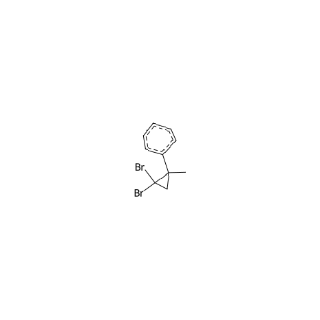 CC1(c2ccccc2)CC1(Br)Br